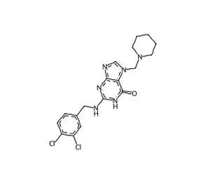 O=c1[nH]c(NCc2ccc(Cl)c(Cl)c2)nc2ncn(CN3CCCCC3)c12